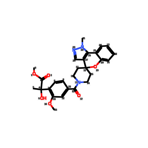 COC(=O)C(C)(O)c1ccc(C(=O)N2CCC3(CC2)Oc2ccccc2-c2c3cnn2C)cc1OC